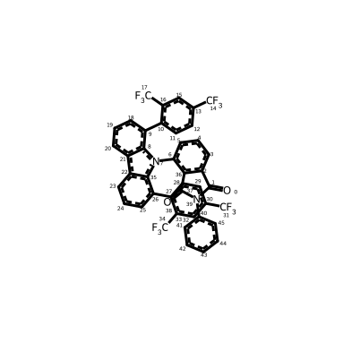 O=C1c2cccc(-n3c4c(-c5ccc(C(F)(F)F)cc5C(F)(F)F)cccc4c4cccc(-c5ccc(C(F)(F)F)cc5C(F)(F)F)c43)c2C(=O)N1c1ccccc1